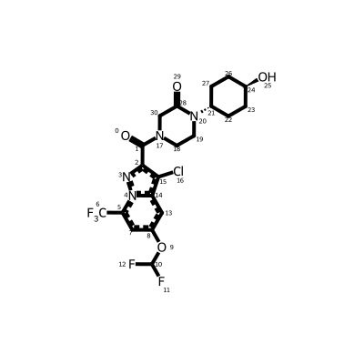 O=C(c1nn2c(C(F)(F)F)cc(OC(F)F)cc2c1Cl)N1CCN([C@H]2CC[C@H](O)CC2)C(=O)C1